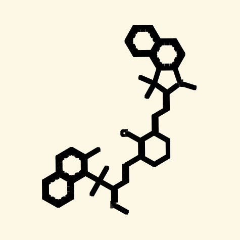 C/N=C(\C=C\C1=C(Cl)C(=C/C=C2/N(C)c3ccc4ccccc4c3C2(C)C)/CCC1)C(C)(C)c1c(C)ccc2ccccc12